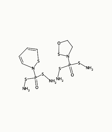 NSP(=O)(SN)N1C=CC=CS1.NSP(=O)(SN)N1CCOS1